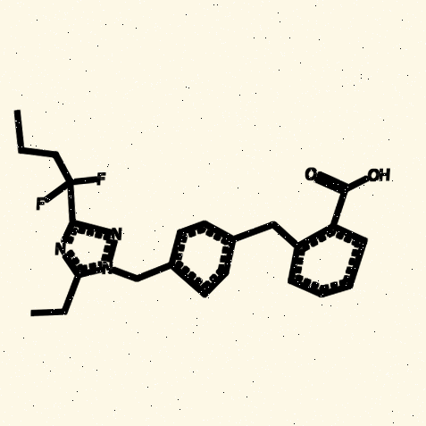 CCCC(F)(F)c1nc(CC)n(Cc2ccc(Cc3ccccc3C(=O)O)cc2)n1